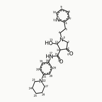 O=C1CN(CCc2ccccn2)C(O)C1C(=O)Nc1ccc(N2CCCCC2)cc1